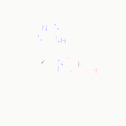 CP(=O)(O)ON[C@@H](Cc1ccccc1)c1nnn[nH]1